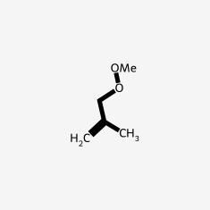 C=C(C)COOC